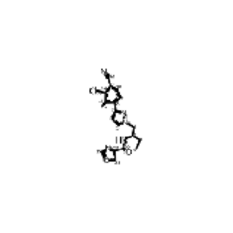 CCC(Cn1ccc(-c2ccc(C#N)c(Cl)c2C)n1)NC(=O)c1cocn1